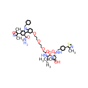 Cc1ncsc1-c1ccc(CNC(=O)[C@@H]2C[C@@H](O)CN2C(=O)[C@@H](NC(=O)COCCCOCCCOc2ccc3c(c2)c2c(C(N)=O)cc(-c4c(C)noc4C)cc2n3Cc2ccccc2)C(C)(C)C)cc1